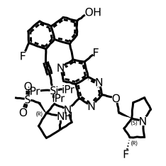 CC(C)[Si](C#Cc1c(F)ccc2cc(O)cc(-c3ncc4c(N5CC6CC[C@](CS(C)(=O)=O)(C5)N6)nc(OC[C@@]56CCCN5C[C@H](F)C6)nc4c3F)c12)(C(C)C)C(C)C